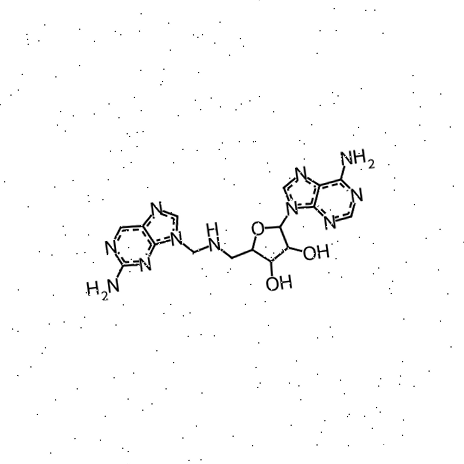 Nc1ncc2ncn(CNCC3OC(n4cnc5c(N)ncnc54)C(O)C3O)c2n1